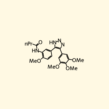 CCCC(=O)Nc1cc(-c2[nH]nnc2-c2cc(OC)c(OC)c(OC)c2)ccc1OC